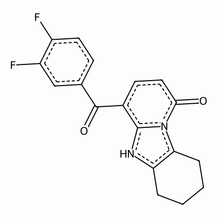 O=C(c1ccc(F)c(F)c1)c1ccc(=O)n2c3c([nH]c12)CCCC3